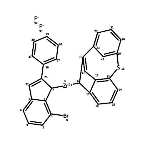 Brc1cccc2c1[CH]([Zr+2][CH]1C3=Cc4c(cccc41)Sc1cccc3c1)C(c1ccccc1)=C2.[F-].[F-]